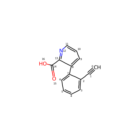 C#Cc1ccccc1-c1cccnc1C(=O)O